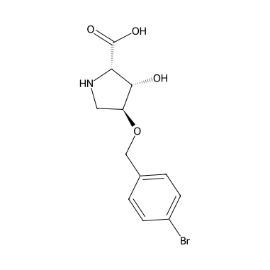 O=C(O)[C@H]1NC[C@H](OCc2ccc(Br)cc2)[C@H]1O